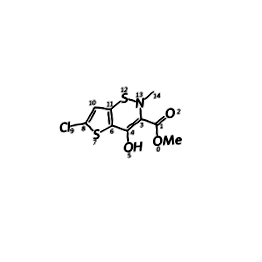 COC(=O)C1=C(O)c2sc(Cl)cc2SN1C